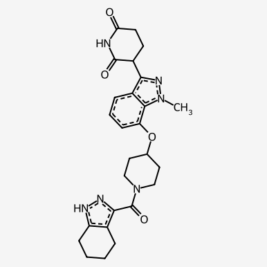 Cn1nc(C2CCC(=O)NC2=O)c2cccc(OC3CCN(C(=O)c4n[nH]c5c4CCCC5)CC3)c21